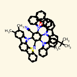 Cc1cc2c3ccc4c5ccccc5sc4c3n(-c3c(C#N)c(-n4c5ccccc5c5ccccc54)c(-n4c5ccc(C(C)(C)C)cc5c5ccc6c7ccccc7oc6c54)c(-n4c5ccccc5c5ccccc54)c3C#N)c2cc1C